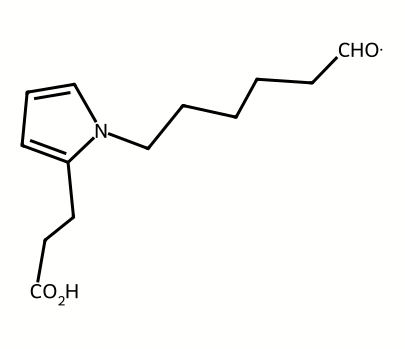 O=[C]CCCCCn1cccc1CCC(=O)O